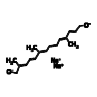 CC(/C=C/C=C(\C)C[O-])=C\C=C\C=C(C)\C=C\C[O-].[Na+].[Na+]